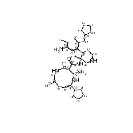 CCCCCC1(NC(=O)C2C(C)NCC(F)C/C=C(/C3CCCC3)NC2N)CNCCC1C(CCN)C(C)C=C1CCCC1